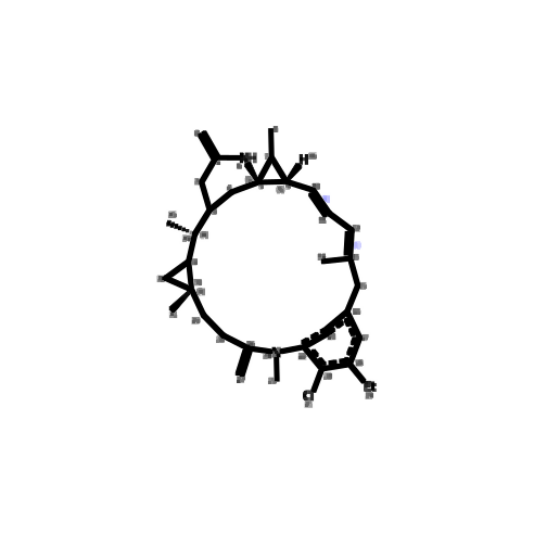 C=C1CC2C[C@]3(N1)C(C)[C@@H]3/C=C/C=C(\C)Cc1cc(CC)c(Cl)c(c1)N(C)C(=C)CC[C@]1(C)CC1[C@@H]2C